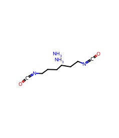 N.N.O=C=NCCCCCCN=C=O